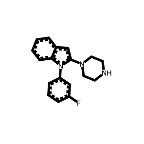 Fc1cccc(-n2c(N3CCNCC3)cc3ccccc32)c1